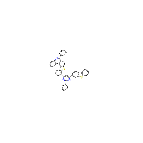 c1ccc(-c2nc(-c3ccc4c(c3)sc3ccccc34)cc(-c3cccc4c3sc3ccc5c(-c6ccccc6)nc6ccccc6c5c34)n2)cc1